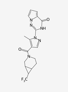 Cc1c(C(=O)N2CCC3C(C2)C3C(F)(F)F)cnn1-c1nn2cccc2c(=O)[nH]1